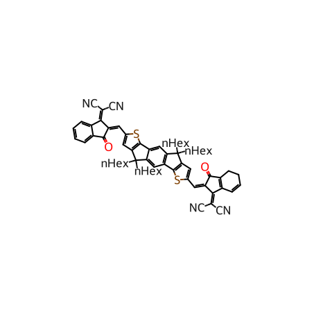 CCCCCCC1(CCCCCC)c2cc3c(cc2-c2sc(/C=C4\C(=O)C5=C(C=CCC5)C4=C(C#N)C#N)cc21)C(CCCCCC)(CCCCCC)c1cc(/C=C2\C(=O)c4ccccc4C2=C(C#N)C#N)sc1-3